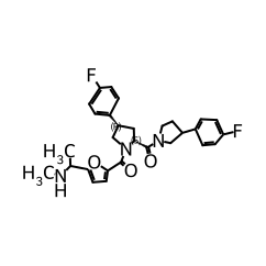 CNC(C)c1ccc(C(=O)N2C[C@@H](c3ccc(F)cc3)C[C@H]2C(=O)N2CCC(c3ccc(F)cc3)C2)o1